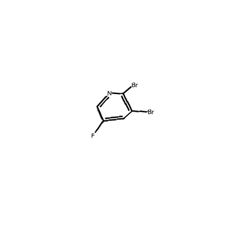 Fc1cnc(Br)c(Br)c1